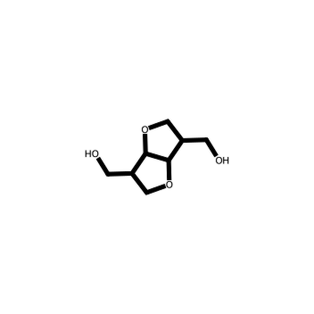 OCC1COC2C(CO)COC12